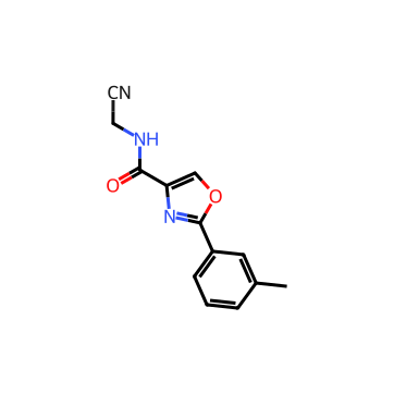 Cc1cccc(-c2nc(C(=O)NCC#N)co2)c1